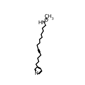 CONCCCCCCCCC#CCCCCc1cccnc1